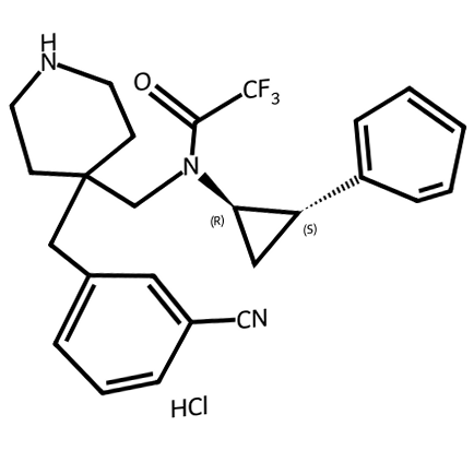 Cl.N#Cc1cccc(CC2(CN(C(=O)C(F)(F)F)[C@@H]3C[C@H]3c3ccccc3)CCNCC2)c1